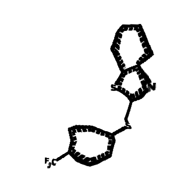 FC(F)(F)c1ccc(Sc2nc3ccccc3s2)cc1